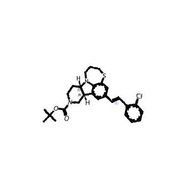 CC(C)(C)OC(=O)N1CC[C@H]2[C@@H](C1)c1cc(/C=C/c3ccccc3Cl)cc3c1N2CCCS3